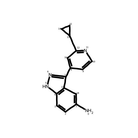 Nc1ccc2[nH]nc(-c3ccnc(C4CC4)c3)c2c1